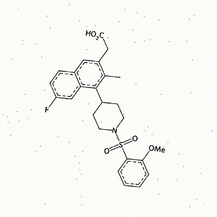 COc1ccccc1S(=O)(=O)N1CCC(c2c(C)c(CC(=O)O)cc3ccc(F)cc23)CC1